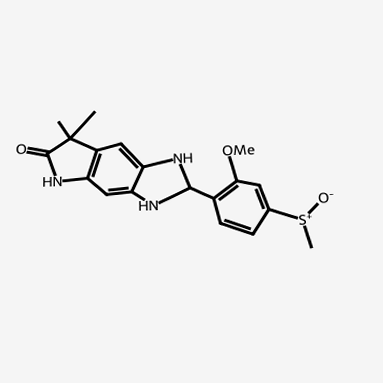 COc1cc([S+](C)[O-])ccc1C1Nc2cc3c(cc2N1)C(C)(C)C(=O)N3